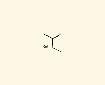 CCC(C)C.[Sn]